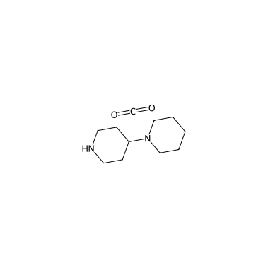 C1CCN(C2CCNCC2)CC1.O=C=O